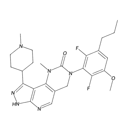 CCCc1cc(OC)c(F)c(N2Cc3cnc4[nH]nc(C5CCN(C)CC5)c4c3N(C)C2=O)c1F